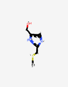 CCSCc1ncc(CO)[nH]1